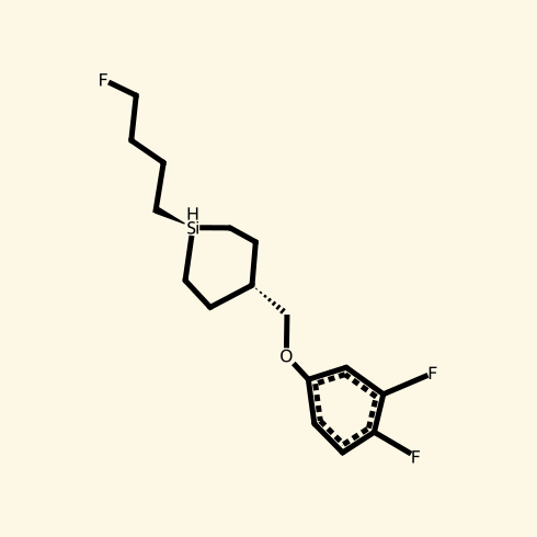 FCCCC[Si@H]1CC[C@H](COc2ccc(F)c(F)c2)CC1